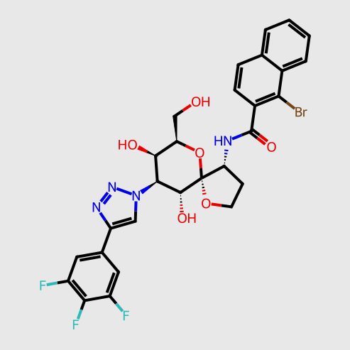 O=C(N[C@@H]1CCO[C@]12O[C@H](CO)[C@H](O)[C@H](n1cc(-c3cc(F)c(F)c(F)c3)nn1)[C@H]2O)c1ccc2ccccc2c1Br